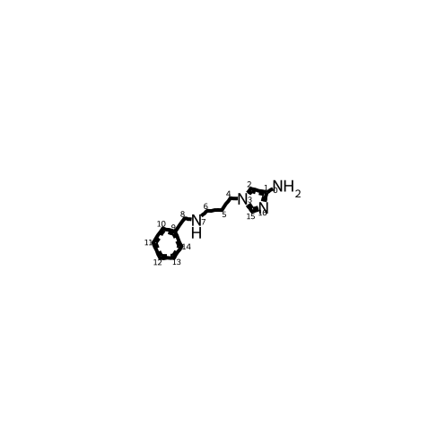 Nc1cn(CCCNCc2ccccc2)cn1